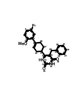 COc1ccc(F)cc1C1=CCC(c2[nH]c(=O)[nH]c(=O)c2Cc2ccccc2)CC1